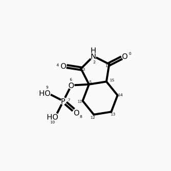 O=C1NC(=O)C2(OP(=O)(O)O)CCCCC12